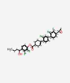 CCCC(O)c1ccc(OC(=O)C2CC=C(c3ccc(-c4ccc(C5CO5)c(F)c4F)cc3F)CC2)c(F)c1F